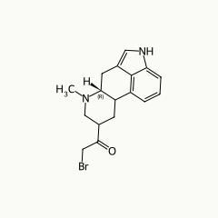 CN1CC(C(=O)CBr)CC2c3cccc4[nH]cc(c34)C[C@H]21